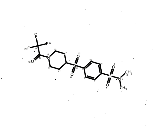 CN(C)S(=O)(=O)c1ccc(S(=O)(=O)C2CCN(C(=O)C(F)(F)F)CC2)cc1